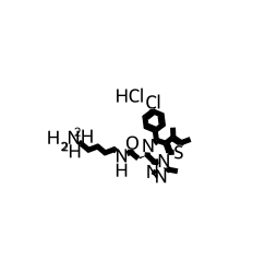 Cl.[2H]C([2H])(N)CCCCNC(=O)C[C@@H]1N=C(c2ccc(Cl)cc2)c2c(sc(C)c2C)-n2c(C)nnc21